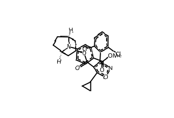 COC(=O)c1ccc(N2[C@@H]3CC[C@H]2C[C@@H](OC(=O)c2c(-c4c(Cl)cccc4Cl)noc2C2CC2)C3)cc1